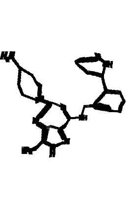 CC(C)c1[nH]nc2c(NCc3ccccc3-c3ccn[nH]3)nc(N3CCC(N)CC3)nc12